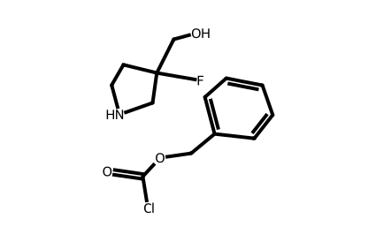 O=C(Cl)OCc1ccccc1.OCC1(F)CCNC1